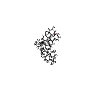 Cc1ccc2c(c1)Oc1ccc(N(c3ccccc3)c3ccc4c(c3)C3(c5cc(C(C)(C)C)ccc5Oc5ccc(C(C)(C)C)cc53)c3ccccc3-4)cc1C21c2ccccc2C2=CC=CCC21